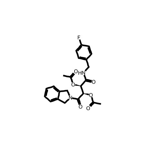 CC(=O)O[C@@H](C(=O)NCc1ccc(F)cc1)[C@@H](OC(C)=O)C(=O)N1Cc2ccccc2C1